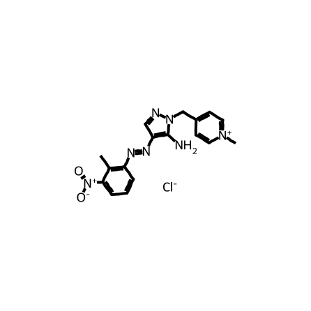 Cc1c(N=Nc2cnn(Cc3cc[n+](C)cc3)c2N)cccc1[N+](=O)[O-].[Cl-]